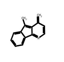 C=c1ccnc2c1=C(C)c1ccccc1-2